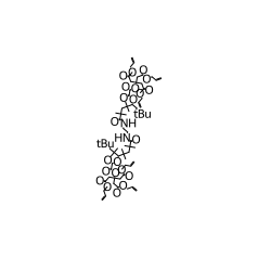 C=CCOC(=O)CC(CC(=O)OCC=C)(CC(=O)OCC=C)OC(=O)C(=O)OC(CC(C)(C)C)C(C)(C)CC(C)(C)C(=O)NCCNC(=O)C(C)(C)CC(C)(C)C(OC(=O)C(=O)OC(CC(=O)OCC=C)(CC(=O)OCC=C)CC(=O)OCC=C)C(C)(C)CC(C)(C)C